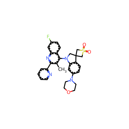 Cc1c(-c2ccccn2)nc2cc(F)ccc2c1N1CC2(CS(=O)(=O)C2)c2ccc(N3CCOCC3)cc21